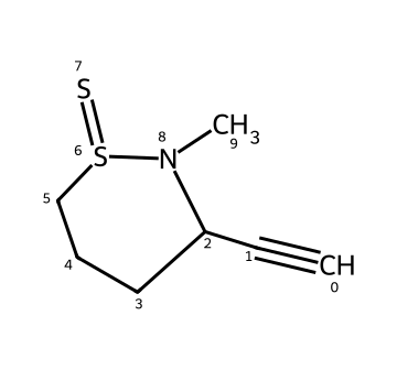 C#CC1CCCS(=S)N1C